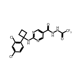 O=C(NNC(=O)C(F)(F)F)c1cnc(NC2(c3ccc(Cl)cc3Cl)CCC2)nc1